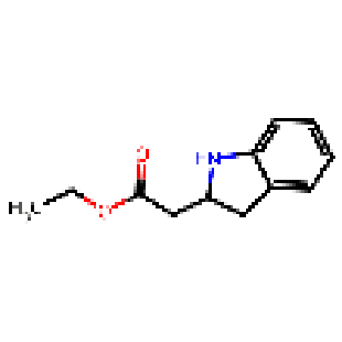 CCOC(=O)CC1Cc2ccccc2N1